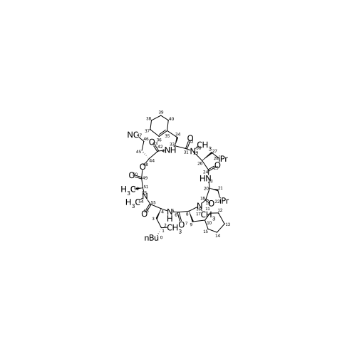 CCCC[C@@H](C)C[C@@H]1NC(=O)[C@H](CC2CCCCC2)N(C)C(=O)[C@H](CC(C)C)NC(=O)[C@H](CC(C)C)N(C)C(=O)[C@H](CC2=CCCCC2)NC(=O)[C@@H](CCC#N)OC(=O)[C@H](C)N(C)C1=O